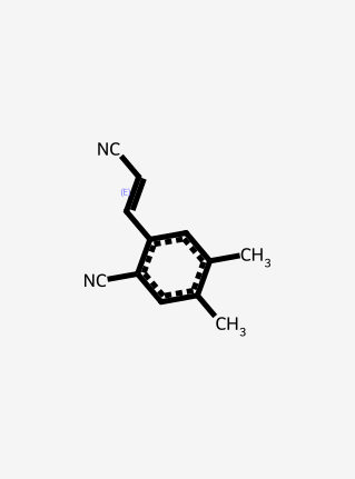 Cc1cc(C#N)c(/C=C/C#N)cc1C